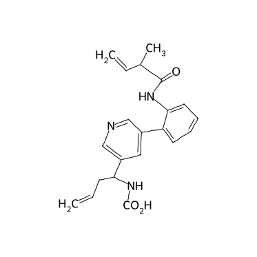 C=CCC(NC(=O)O)c1cncc(-c2ccccc2NC(=O)C(C)C=C)c1